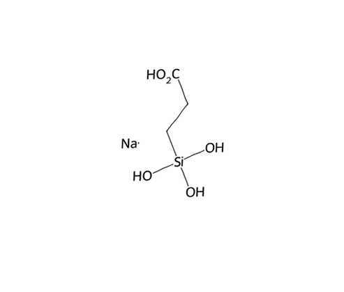 O=C(O)CC[Si](O)(O)O.[Na]